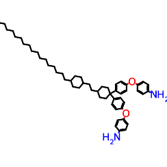 CCCCCCCCCCCCCCCCCC1CCC(CCC2CCC(c3ccc(Oc4ccc(N)cc4)cc3)(c3ccc(Oc4ccc(N)cc4)cc3)CC2)CC1